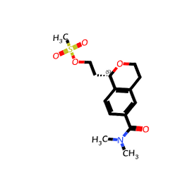 CN(C)C(=O)c1ccc2c(c1)CCO[C@H]2CCOS(C)(=O)=O